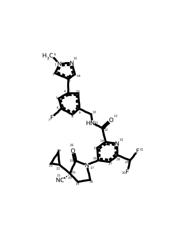 Cn1cc(-c2cc(F)cc(CNC(=O)c3cc(N4CC[C@@](C#N)(C5CC5)C4=O)cc(C(F)F)n3)c2)cn1